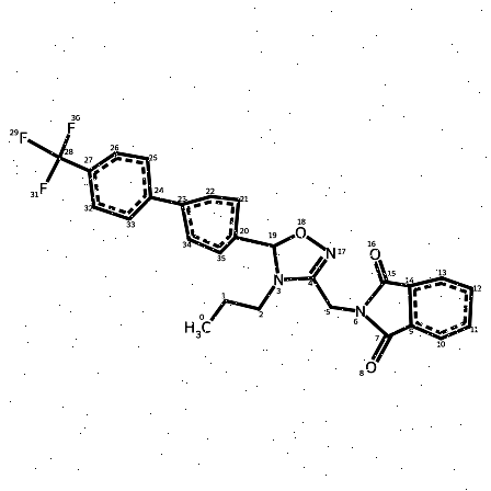 CCCN1C(CN2C(=O)c3ccccc3C2=O)=NOC1c1ccc(-c2ccc(C(F)(F)F)cc2)cc1